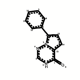 O=c1[nH]cnn2c(-c3ccccc3)ccc12